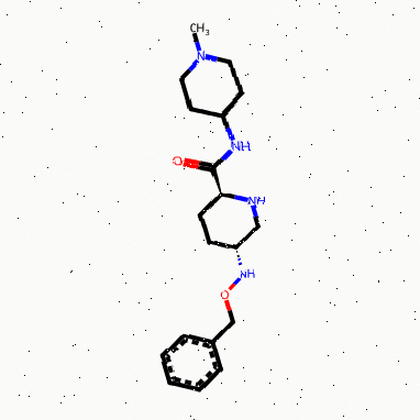 CN1CCC(NC(=O)[C@@H]2CC[C@@H](NOCc3ccccc3)CN2)CC1